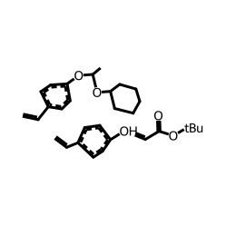 C=CC(=O)OC(C)(C)C.C=Cc1ccc(O)cc1.C=Cc1ccc(OC(C)OC2CCCCC2)cc1